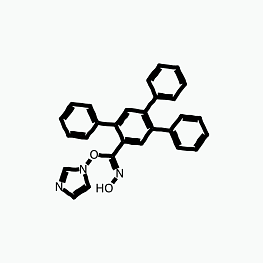 ON=C(On1ccnc1)c1cc(-c2ccccc2)c(-c2ccccc2)cc1-c1ccccc1